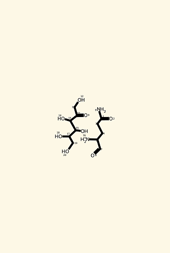 NC(=O)CCC(N)C=O.O=C(CO)C(O)C(O)C(O)CO